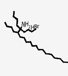 Br.CCCCCCCCCCCCCCC(CCCC)C(N)(CCCC)CCCC